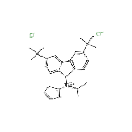 C[C](C)=[Ti+2]([C]1=CC=CC1)[CH]1c2ccc(C(C)(C)C)cc2-c2cc(C(C)(C)C)ccc21.[Cl-].[Cl-]